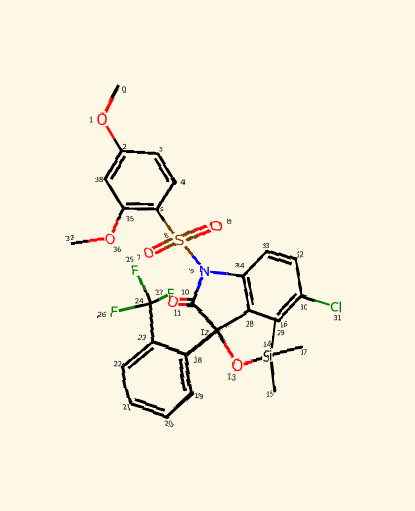 COc1ccc(S(=O)(=O)N2C(=O)C(O[Si](C)(C)C)(c3ccccc3C(F)(F)F)c3cc(Cl)ccc32)c(OC)c1